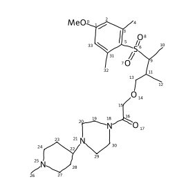 COc1cc(C)c(S(=O)(=O)C(C)C(C)COCC(=O)N2CCN(C3CCN(C)CC3)CC2)c(C)c1